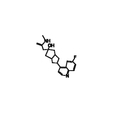 C=C(CC1(O)CC2CC(c3ccnc4ccc(F)cc34)CC2C1)NC